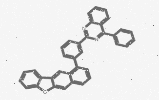 c1ccc(-c2nc(-c3cccc(-c4cccc5cc6oc7ccccc7c6cc45)c3)nc3ccccc23)cc1